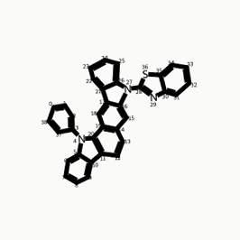 c1ccc(-n2c3ccccc3c3ccc4cc5c(cc4c32)c2ccccc2n5-c2nc3ccccc3s2)cc1